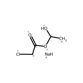 CC(O)OC(=O)CCl.[NaH]